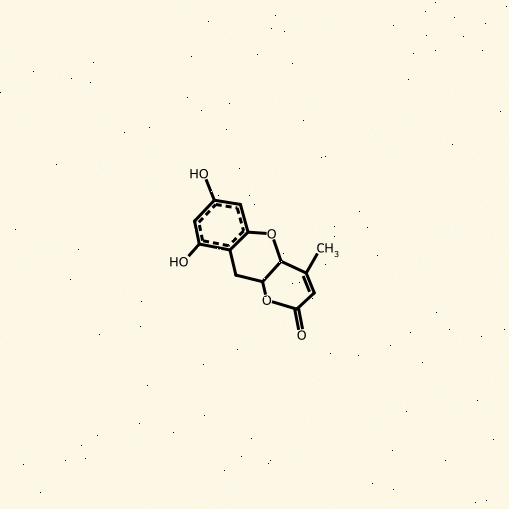 CC1=CC(=O)OC2Cc3c(O)cc(O)cc3OC12